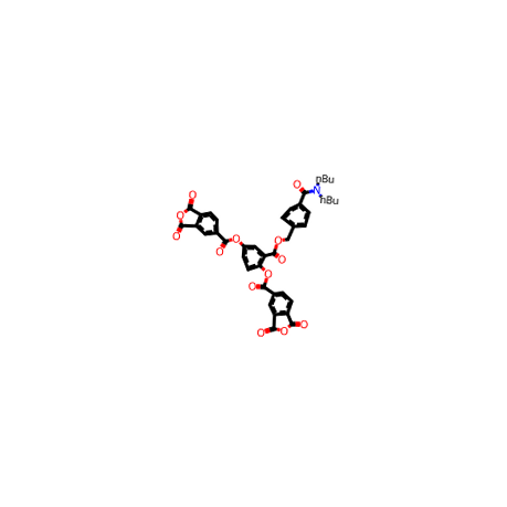 CCCCN(CCCC)C(=O)c1ccc(COC(=O)c2cc(OC(=O)c3ccc4c(c3)C(=O)OC4=O)ccc2OC(=O)c2ccc3c(c2)C(=O)OC3=O)cc1